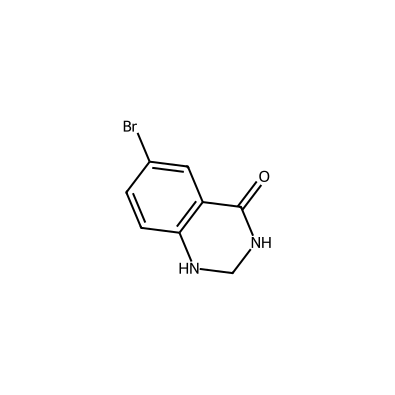 O=C1NCNc2ccc(Br)cc21